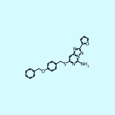 Nc1nc(SCc2ccc(OCc3ccccc3)cc2)cc2nc(-c3ccco3)nn12